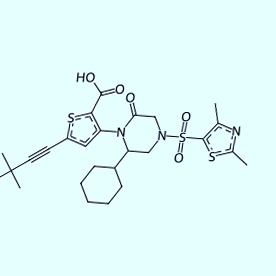 Cc1nc(C)c(S(=O)(=O)N2CC(=O)N(c3cc(C#CC(C)(C)C)sc3C(=O)O)C(C3CCCCC3)C2)s1